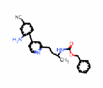 CC(CCc1cc(-c2ccc(C#N)cc2N)ccn1)NC(=O)OCc1ccccc1